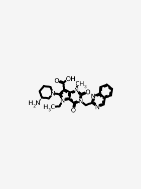 CCn1c(N2CCC[C@@H](N)C2)c(C(=O)O)c2c1c(=O)n(Cc1ncc3ccccc3n1)c(=O)n2C